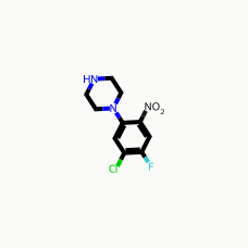 O=[N+]([O-])c1cc(F)c(Cl)cc1N1CCNCC1